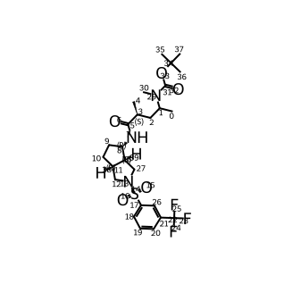 CC(C[C@H](C)C(=O)N[C@@H]1CC[C@H]2CN(S(=O)(=O)c3cccc(C(F)(F)F)c3)C[C@H]21)N(C)C(=O)OC(C)(C)C